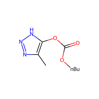 CCCCOC(=O)Oc1[nH]nnc1C